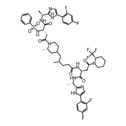 CC(CCC(=O)N[C@@H](CC(=O)N1CCCC[C@@H]1C(F)(F)F)C(=O)N[C@@H](C)c1ncc(-c2ccc(F)cc2F)[nH]1)CC1CCN(C(=O)C[C@H](NS(=O)(=O)c2ccccc2)C(=O)N[C@@H](C)c2ncc(-c3ccc(F)cc3F)[nH]2)[C@@H](C)C1